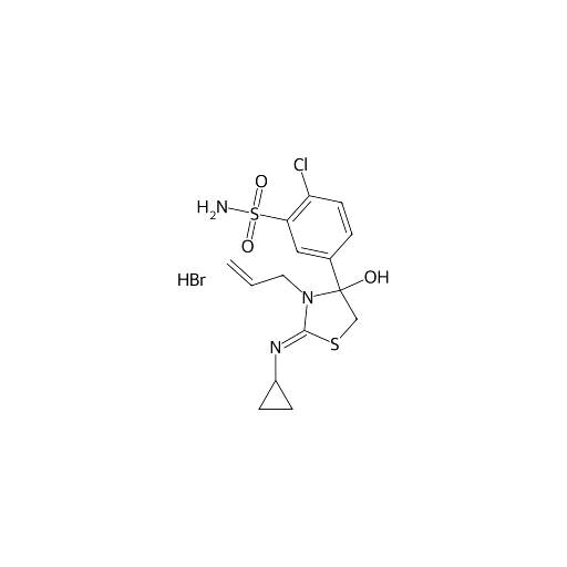 Br.C=CCN1C(=NC2CC2)SCC1(O)c1ccc(Cl)c(S(N)(=O)=O)c1